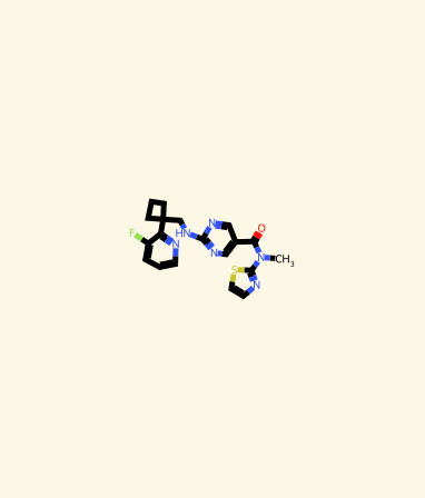 CN(C(=O)c1cnc(NCC2(c3ncccc3F)CCC2)nc1)c1nccs1